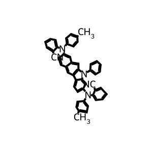 Cc1ccc(N(c2ccc3cc4c5ccc(N(c6ccc(C)cc6)c6ccccc6C#N)cc5n(-c5ccccc5)c4cc3c2)c2ccccc2C#N)cc1